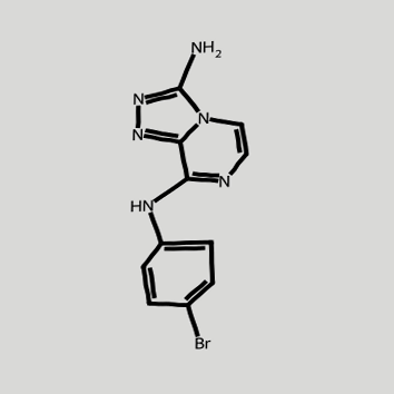 Nc1nnc2c(Nc3ccc(Br)cc3)nccn12